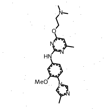 COc1cc(Nc2nc(C)cc(OCCN(C)C)n2)ccc1-n1cnc(C)c1